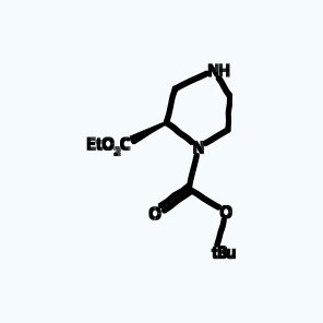 CCOC(=O)[C@H]1CNCCN1C(=O)OC(C)(C)C